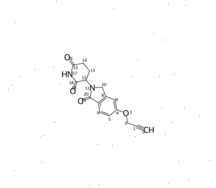 C#CCOc1ccc2c(c1)CN(C1CCC(=O)NC1=O)C2=O